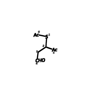 CC(=O)SC(CC=O)C(C)=O